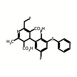 CC1=NC(CF)=C(C(=O)O)C(c2cc(F)cc(Sc3ccccc3)c2F)C1C(=O)O